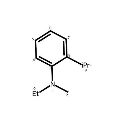 CCN(C)c1ccccc1[C](C)C